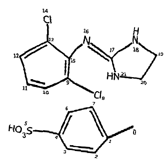 Cc1ccc(S(=O)(=O)O)cc1.Clc1cccc(Cl)c1N=C1NCCN1